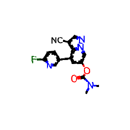 CN(C)C(=O)Oc1cc(-c2ccc(F)nc2)c2c(C#N)cnn2c1